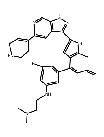 C=C/C=C(/c1cc(F)cc(NCCN(C)C)c1)c1cc(-c2n[nH]c3cnc(C4=CCNCC4)cc23)[nH]c1C